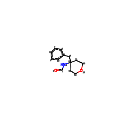 O=CNC1(Cc2ccccc2)CCOCC1